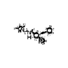 C=C(NCCn1nc(C)cc1C)c1ccc(-n2cccn2)c(C#Cc2ccccc2)c1